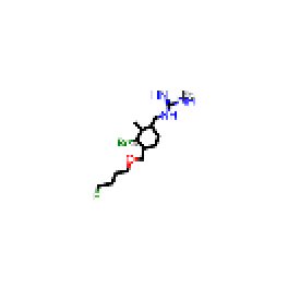 CCNC(=N)NCC1CCC(COCCCCF)[C@@H](Br)C1C